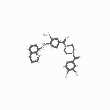 COc1cc(C(=O)N2CCN(C(=O)c3ccc(F)c(F)c3)CC2)ccc1NSc1cccc2cccnc12